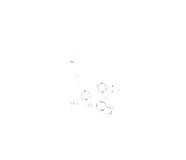 COc1cc(C2CCN(CCC(=O)N3CCC3)CC2)c(C)cc1Nc1nc(Nc2ccccc2S(=O)(=O)C(C)C)n2nccc2n1